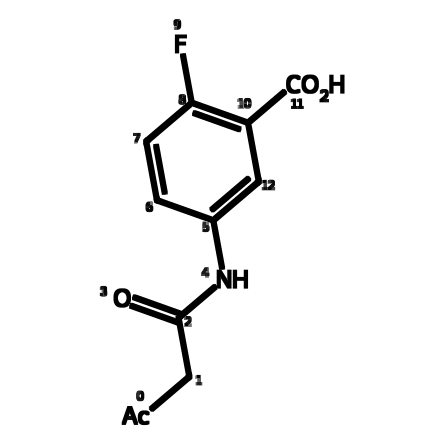 CC(=O)CC(=O)Nc1ccc(F)c(C(=O)O)c1